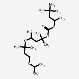 CC(C)OCCC(C)(C)OC(C)CC(C)(C)OC(=O)OC(C)CC(C)(C)N